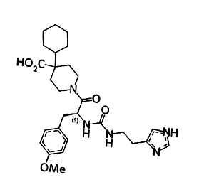 COc1ccc(C[C@H](NC(=O)NCCc2c[nH]cn2)C(=O)N2CCC(C(=O)O)(C3CCCCC3)CC2)cc1